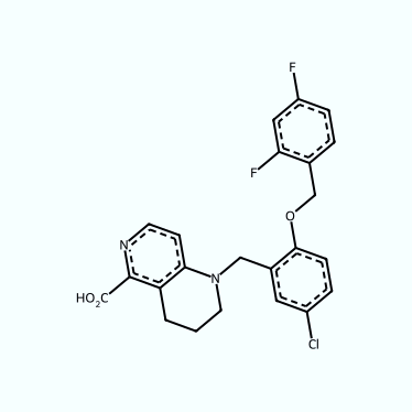 O=C(O)c1nccc2c1CCCN2Cc1cc(Cl)ccc1OCc1ccc(F)cc1F